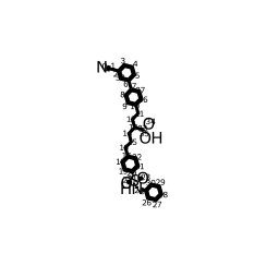 N#Cc1cccc(-c2ccc(CCC(CCCc3ccc(S(=O)(=O)Nc4ccccc4)cc3)C(=O)O)cc2)c1